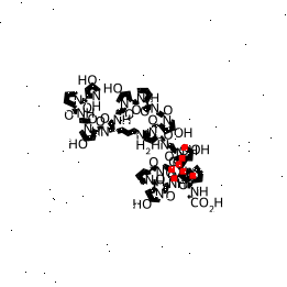 NCCCC[C@H](NC(=O)[C@@H]1C[C@@H](O)CN1C(=O)CNC(=O)[C@@H]1CCCN1C(=O)[C@@H]1C[C@@H](O)CN1)C(=O)NCC(=O)N1C[C@H](O)C[C@H]1C(=O)N1CCC[C@H]1C(=O)NCC(=O)N1C[C@H](O)C[C@H]1C(=O)N1CCC[C@H]1C(=O)NCC(=O)N1C[C@H](O)C[C@H]1C(=O)N1CCC[C@H]1C(=O)NCC(=O)N1C[C@H](O)C[C@H]1C(=O)N1CCC[C@H]1C(=O)NCC(=O)N1C[C@H](O)C[C@H]1C(=O)N1CCC[C@H]1C(=O)NCC(=O)O